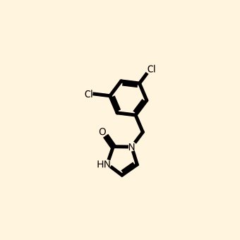 O=c1[nH]ccn1Cc1cc(Cl)cc(Cl)c1